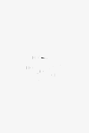 CC1(C)C2CC[C@@]1(C)C(C(=O)O)C2